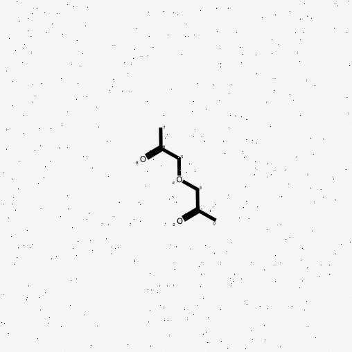 CC(=O)COCC(C)=O